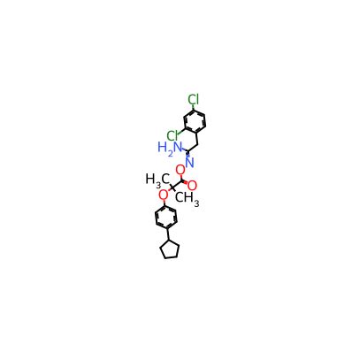 CC(C)(Oc1ccc(C2CCCC2)cc1)C(=O)O/N=C(\N)Cc1ccc(Cl)cc1Cl